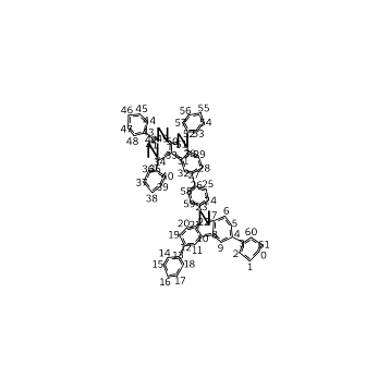 c1ccc(-c2ccc3c(c2)c2cc(-c4ccccc4)ccc2n3-c2ccc(-c3ccc4c(c3)c3c(-c5ccccc5)nc(-c5ccccc5)nc3n4-c3ccccc3)cc2)cc1